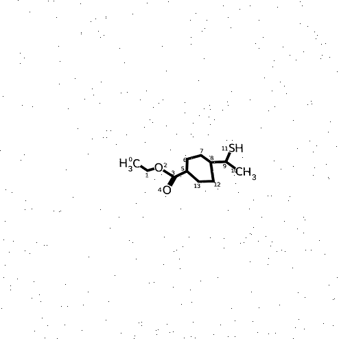 CCOC(=O)C1CCC(C(C)S)CC1